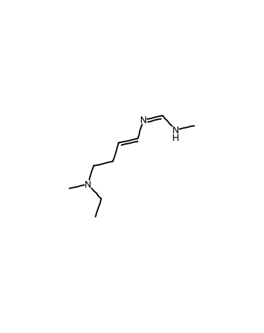 CCN(C)CC/C=C/N=C\NC